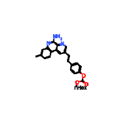 CCCCCCOC(=O)Oc1ccc(CCc2cnc3c(N)nc4cc(C)ccc4c3c2)cc1